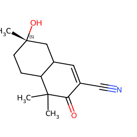 CC1(C)C(=O)C(C#N)=CC2C[C@@](C)(O)CCC21